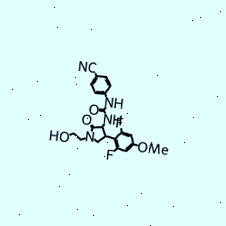 COc1cc(F)c(C2CN(CCO)C(=O)C2NC(=O)Nc2ccc(C#N)cc2)c(F)c1